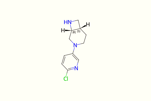 Clc1ccc(N2CC[C@H]3CN[C@H]3C2)cn1